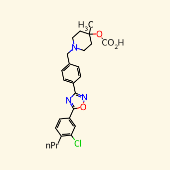 CCCc1ccc(-c2nc(-c3ccc(CN4CCC(C)(OC(=O)O)CC4)cc3)no2)cc1Cl